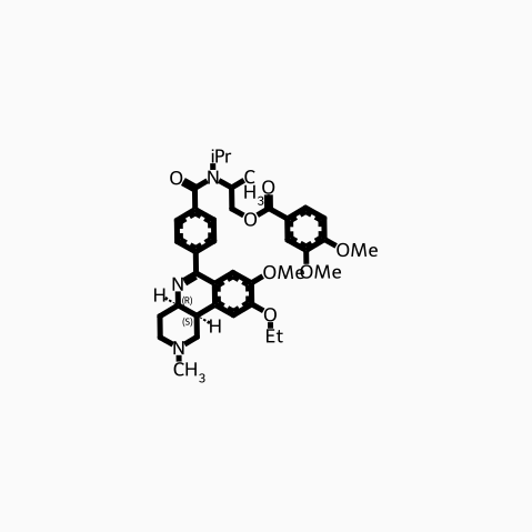 CCOc1cc2c(cc1OC)C(c1ccc(C(=O)N(C(C)C)C(C)COC(=O)c3ccc(OC)c(OC)c3)cc1)=N[C@@H]1CCN(C)C[C@H]21